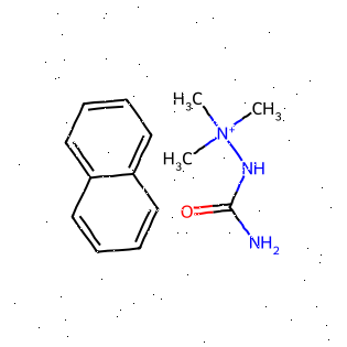 C[N+](C)(C)NC(N)=O.c1ccc2ccccc2c1